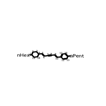 CCCCCCC1CCC(C=CC#CC=Cc2ccc(CCCCC)cc2)CC1